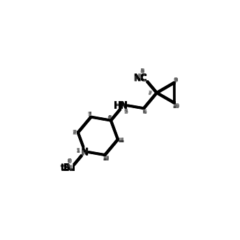 CC(C)(C)N1CCC(NCC2(C#N)CC2)CC1